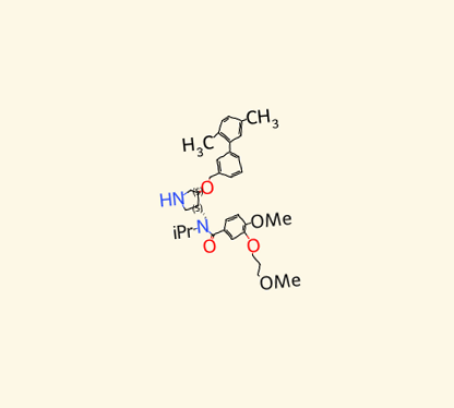 COCCCOc1cc(C(=O)N(C[C@@H]2CNC[C@H]2OCc2cccc(-c3cc(C)ccc3C)c2)C(C)C)ccc1OC